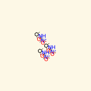 CC[N+]([O-])(CC)CC(=O)Nc1c(C)cccc1C.CC[N+]([O-])(CC)CC(=O)Nc1c(C)cccc1C.CC[N+]([O-])(CC)CC(=O)Nc1c(C)cccc1C